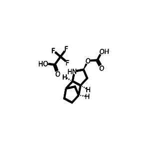 O=C(O)C(F)(F)F.O=C(O)O[C@H]1C[C@H]2[C@H]3CCC(C3)[C@H]2N1